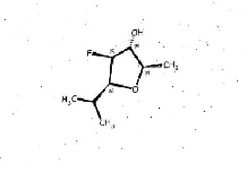 CC(C)[C@@H]1O[C@H](C)[C@@H](O)[C@@H]1F